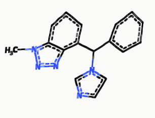 Cn1nnc2c(C(c3ccccc3)n3ccnc3)cccc21